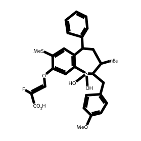 CCCCC1CC(c2ccccc2)c2cc(SC)c(OC=C(F)C(=O)O)cc2S(O)(O)C1Cc1ccc(OC)cc1